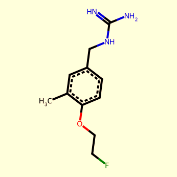 Cc1cc(CNC(=N)N)ccc1OCCF